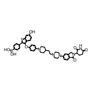 O=C1CCC(N2Cc3cc(N4CCN(CCC5CCN(c6ccc(Oc7c(-c8ccc(B(O)O)cc8)sc8cc(O)ccc78)cc6)CC5)CC4)ccc3C2=O)C(=O)N1